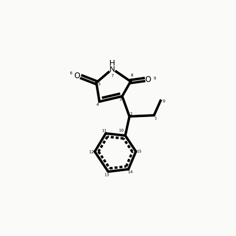 CCC(C1=CC(=O)NC1=O)c1ccccc1